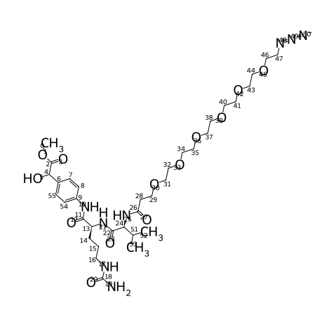 COC(=O)C(O)c1ccc(NC(=O)[C@H](CCCNC(N)=O)NC(=O)[C@@H](NC(=O)CCOCCOCCOCCOCCOCCOCCN=[N+]=[N-])C(C)C)cc1